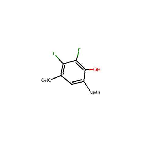 CNc1cc(C=O)c(F)c(F)c1O